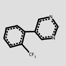 FC(F)(F)c1ccccc1-c1cn[c]nc1